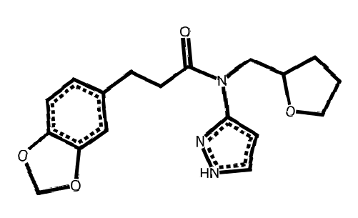 O=C(CCc1ccc2c(c1)OCO2)N(CC1CCCO1)c1cc[nH]n1